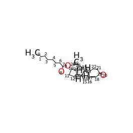 CCCCCCCC(=O)O[C@H]1CC[C@H]2[C@@H]3CCC4=CC(=O)CC[C@@H]4[C@H]3CC[C@]12CC